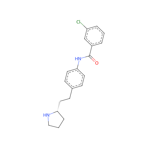 O=C(Nc1ccc(CC[C@@H]2CCCN2)cc1)c1cccc(Cl)c1